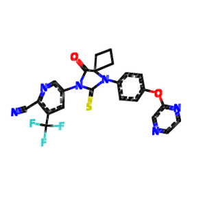 N#Cc1ncc(N2C(=O)C3(CCC3)N(c3ccc(Oc4cnccn4)cc3)C2=S)cc1C(F)(F)F